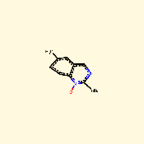 CCCCc1ncc2cc(C)ccc2[n+]1[O-]